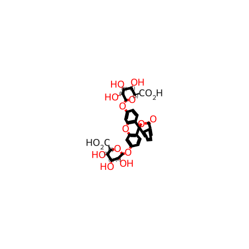 O=C1OC2(c3ccc(OC4O[C@H](C(=O)O)[C@@H](O)[C@H](O)[C@H]4O)cc3Oc3cc(OC4O[C@H](C(=O)O)[C@@H](O)[C@H](O)[C@H]4O)ccc32)c2ccccc21